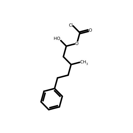 CC(CCc1ccccc1)CC(O)OC(=O)Cl